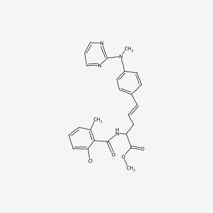 COC(=O)C(C/C=C/c1ccc(N(C)c2ncccn2)cc1)NC(=O)c1c(C)cccc1Cl